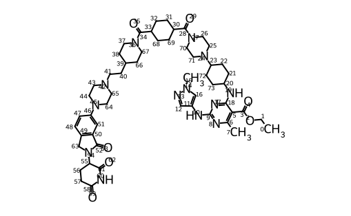 CCOC(=O)c1c(C)nc(Nc2cnn(C)c2)nc1NC1CCC(N2CCN(C(=O)C3CCC(C(=O)N4CCC(CCN5CCN(c6ccc7c(c6)C(=O)N(C6CCC(=O)NC6=O)C7)CC5)CC4)CC3)CC2)CC1